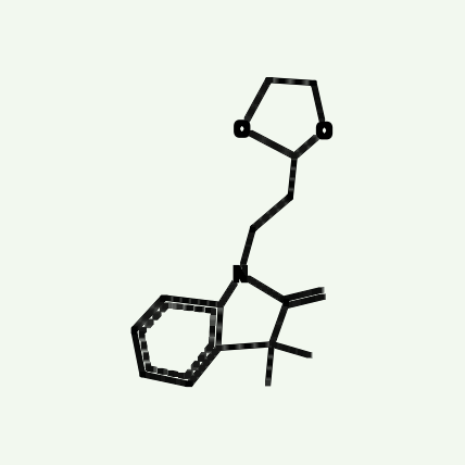 C=C1N(CCC2OCCO2)c2ccccc2C1(C)C